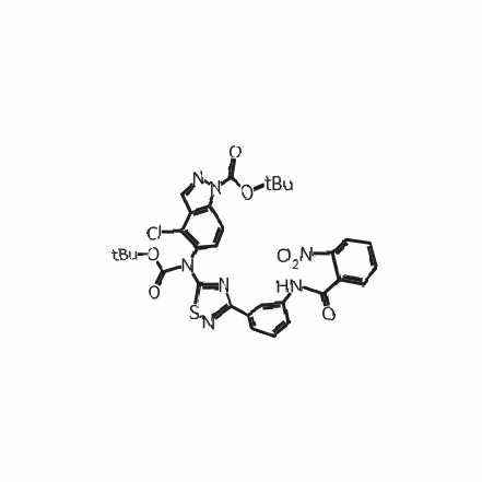 CC(C)(C)OC(=O)N(c1nc(-c2cccc(NC(=O)c3ccccc3[N+](=O)[O-])c2)ns1)c1ccc2c(cnn2C(=O)OC(C)(C)C)c1Cl